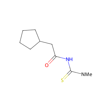 CNC(=S)NC(=O)CC1CCCC1